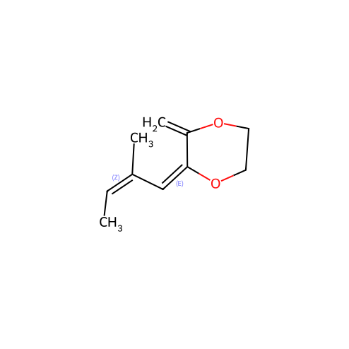 C=C1OCCO/C1=C/C(C)=C\C